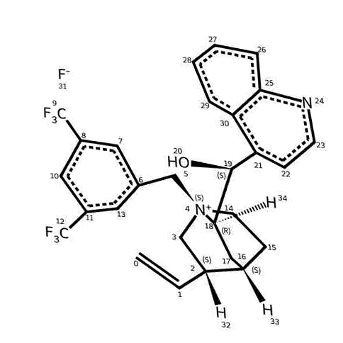 C=C[C@@H]1C[N@+]2(Cc3cc(C(F)(F)F)cc(C(F)(F)F)c3)CC[C@H]1C[C@@H]2[C@@H](O)c1ccnc2ccccc12.[F-]